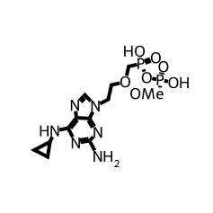 COP(=O)(O)OP(=O)(O)COCCn1cnc2c(NC3CC3)nc(N)nc21